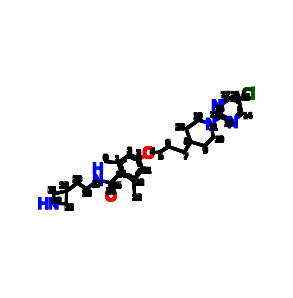 Cc1cc(OCCCC2CCN(c3ncc(Cl)cn3)CC2)cc(C)c1C(=O)NCCC1CNC1